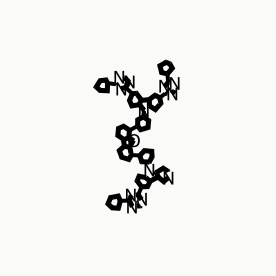 c1ccc(-c2ncnc(-c3ccc4c(c3)c3cnccc3n4-c3cccc(-c4cccc5c4oc4c(-c6cccc(-n7c8ccc(-c9ncnc(-c%10ccccc%10)n9)cc8c8cc(-c9ncnc(-c%10ccccc%10)n9)ccc87)c6)cccc45)c3)n2)cc1